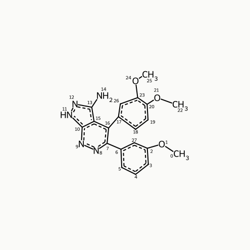 COc1cccc(-c2nnc3[nH]nc(N)c3c2-c2ccc(OC)c(OC)c2)c1